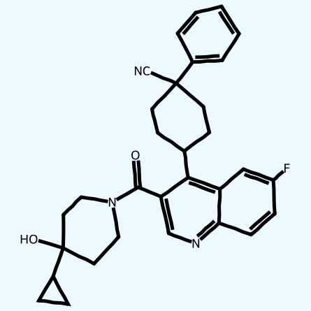 N#CC1(c2ccccc2)CCC(c2c(C(=O)N3CCC(O)(C4CC4)CC3)cnc3ccc(F)cc23)CC1